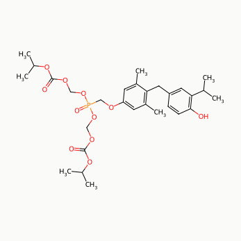 Cc1cc(OCP(=O)(OCOC(=O)OC(C)C)OCOC(=O)OC(C)C)cc(C)c1Cc1ccc(O)c(C(C)C)c1